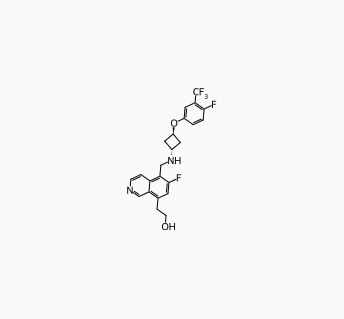 OCCc1cc(F)c(CN[C@H]2C[C@H](Oc3ccc(F)c(C(F)(F)F)c3)C2)c2ccncc12